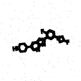 Fc1ccc(N2CC(F)C2)cc1-n1cc2cc(C3CCNCC3)cnc2n1